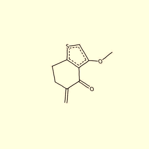 C=C1CCc2scc(OC)c2C1=O